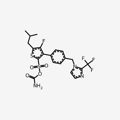 CC(C)Cc1sc(S(=O)(=O)OC(N)=O)c(-c2ccc(Cn3ccnc3C(F)(F)F)cc2)c1F